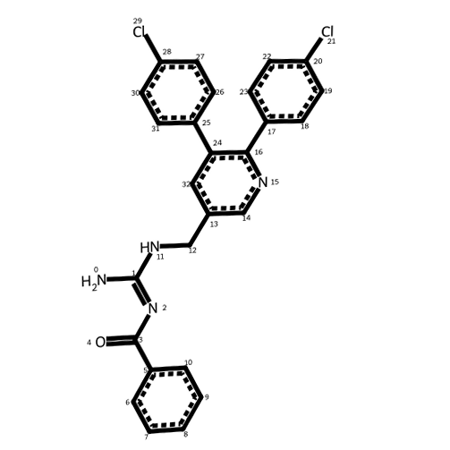 N/C(=N\C(=O)c1ccccc1)NCc1cnc(-c2ccc(Cl)cc2)c(-c2ccc(Cl)cc2)c1